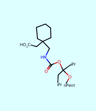 CCCCCOC(CC(C)C)(OC(=O)NCC1(CC(=O)O)CCCCC1)C(C)C